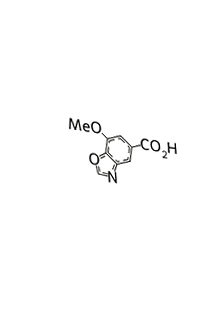 COc1cc(C(=O)O)cc2ncoc12